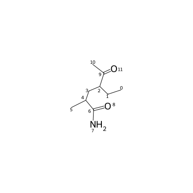 CCC(CC(C)C(N)=O)C(C)=O